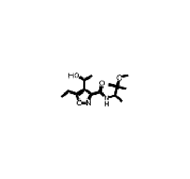 CCc1onc(C(=O)NC(C)C(C)(C)OC)c1C(C)O